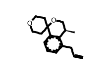 C=CCc1cccc2c1[C@H](C)COC21CCOCC1